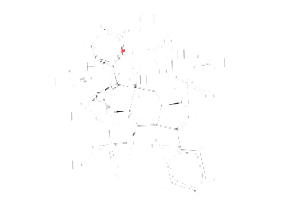 COP(=O)(OC)O[C@@H]1[C@@H](OP(=O)(OC)OC)[C@@](O)(C(=O)c2ccccc2)[C@@H](OP(=O)(OC)OC)[C@@H](OP(=O)(OC)OC)[C@]1(O)C(=O)c1ccccc1